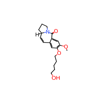 COc1cc2c(cc1OCCCCCO)C=C[C@@H]1CCCN1C2=O